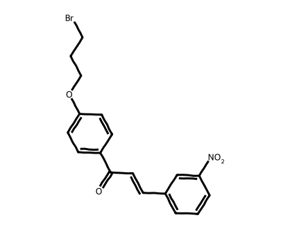 O=C(C=Cc1cccc([N+](=O)[O-])c1)c1ccc(OCCCBr)cc1